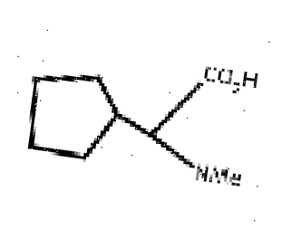 CNC(C(=O)O)C1CCCC1